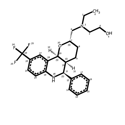 CCN(CCO)C[C@@H]1CC[C@H]2[C@@H](c3ccccc3)Nc3ccc(C(F)(F)F)cc3[C@H]2O1